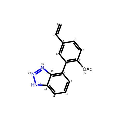 C=Cc1ccc(OC(C)=O)c(-c2cccc3[nH]nnc23)c1